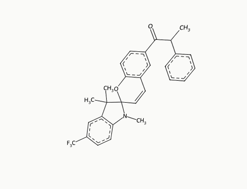 CC(C(=O)c1ccc2c(c1)C=CC1(O2)N(C)c2ccc(C(F)(F)F)cc2C1(C)C)c1ccccc1